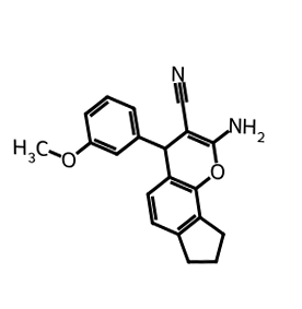 COc1cccc(C2C(C#N)=C(N)Oc3c2ccc2c3CCC2)c1